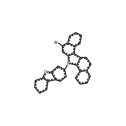 Brc1cc2c(c3ccccc13)c1ccc3ccccc3c1n2-c1ccc2c(c1)oc1ccccc12